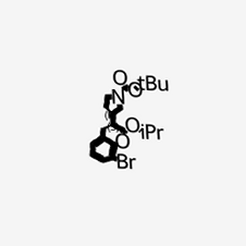 CC(C)OC(=O)[C@@H](Cc1cccc(Br)c1)[C@H]1CCN(C(=O)OC(C)(C)C)C1